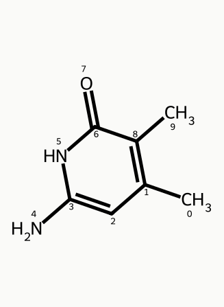 Cc1cc(N)[nH]c(=O)c1C